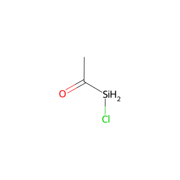 CC(=O)[SiH2]Cl